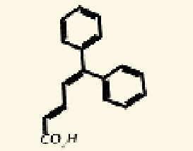 O=C(O)C=CC=C(c1ccccc1)c1ccccc1